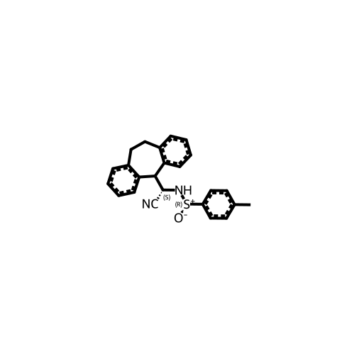 Cc1ccc([S@+]([O-])N[C@H](C#N)C2c3ccccc3CCc3ccccc32)cc1